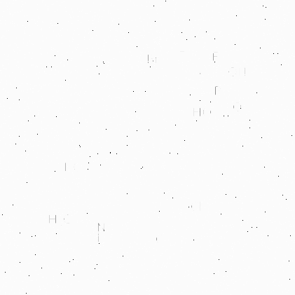 Cc1[nH]c2c(Cl)c(Cl)cc(Cc3ccc(C(F)(F)P(=O)(O)O)c(Br)c3)c2c1C